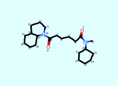 CN(C(=O)CCCCC(=O)N1CCCC2CCCCC21)C1CCCCC1